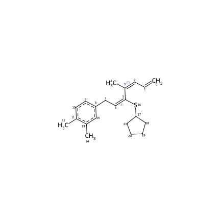 C=C/C=C(C)\C(=C/Cc1ccc(C)c(C)c1)SC1CCCC1